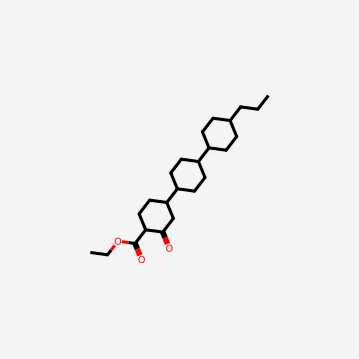 CCCC1CCC(C2CCC(C3CCC(C(=O)OCC)C(=O)C3)CC2)CC1